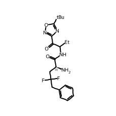 CCC(NC(=O)[C@@H](N)CC(F)(F)Cc1ccccc1)C(=O)c1noc(C(C)(C)C)n1